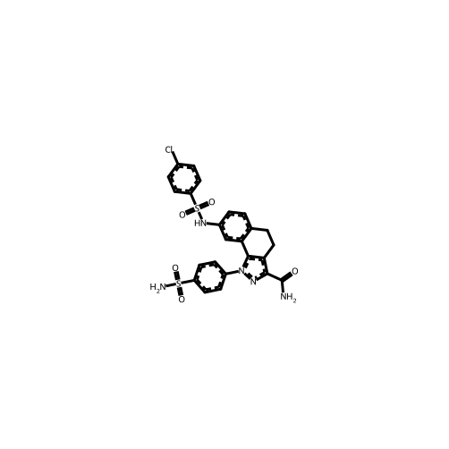 NC(=O)c1nn(-c2ccc(S(N)(=O)=O)cc2)c2c1CCc1ccc(NS(=O)(=O)c3ccc(Cl)cc3)cc1-2